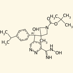 CC(C)c1ccc([C@](O)(c2cnnc(C(=N)NO)c2)C2(C)CN(C(=O)OC(C)(C)C)C2)cc1